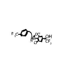 O=C(NCc1ccc(C(F)(F)F)cc1)Nc1c(Cl)cc([C@@H](O)C(F)(F)F)cc1Cl